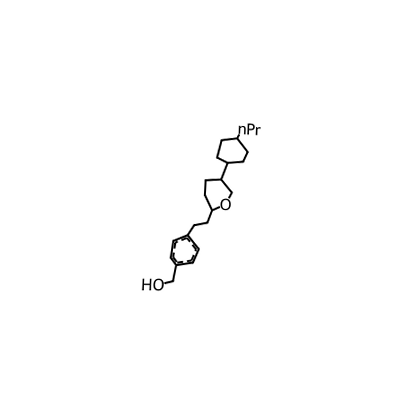 CCCC1CCC(C2CCC(CCc3ccc(CO)cc3)OC2)CC1